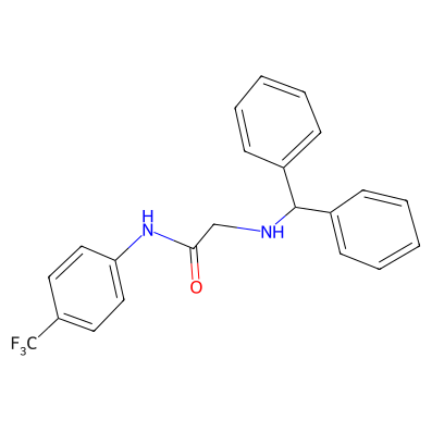 O=C(CNC(c1ccccc1)c1ccccc1)Nc1ccc(C(F)(F)F)cc1